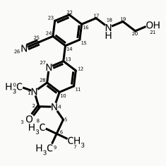 Cn1c(=O)n(CC(C)(C)C)c2ccc(-c3cc(CNCCO)ccc3C#N)nc21